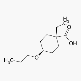 CCCO[C@H]1CC[C@](CC)(C(=O)O)CC1